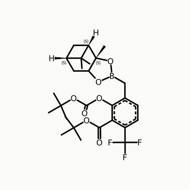 CC(C)(C)OC(=O)Oc1c(CB2OC3C[C@@H]4C[C@@H](C4(C)C)[C@]3(C)O2)ccc(C(F)(F)F)c1C(=O)OC(C)(C)C